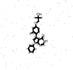 CC(C)(O)COc1ccc(-c2cn(-c3ccccc3)c3nc[nH]c(=O)c23)c(F)c1